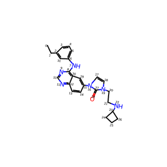 CCc1cccc(Nc2ncnc3ccc(-n4ccn(CCNC5CCC5)c4=O)cc23)c1